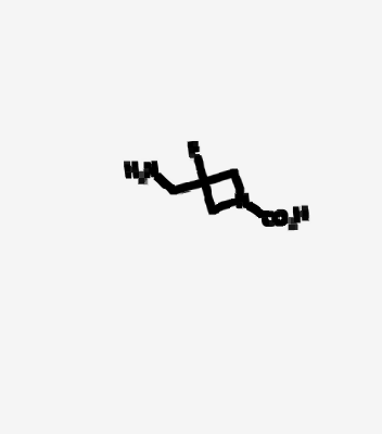 NCC1(F)CN(C(=O)O)C1